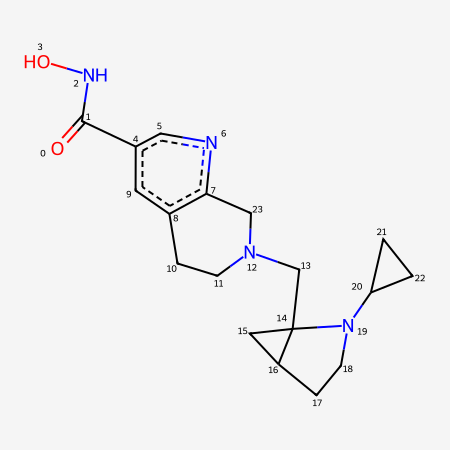 O=C(NO)c1cnc2c(c1)CCN(CC13CC1CCN3C1CC1)C2